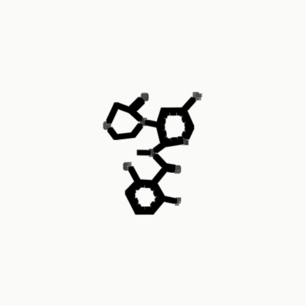 CN(C(=O)c1c(F)cccc1Cl)c1ncc(Br)cc1N1CCOCC1=O